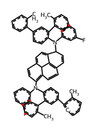 Cc1ccccc1-c1ccc(N(C2=C3C=CC4=C5C(=CC=C(C=C2)C35)C(N(c2cccc(F)c2)c2ccc(-c3ccccc3C)cc2-c2ccccc2C)C=C4)c2cccc(F)c2)c(-c2ccccc2C)c1